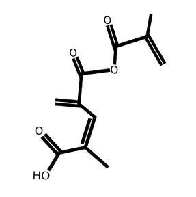 C=C(C)C(=O)OC(=O)C(=C)C=C(C)C(=O)O